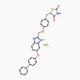 Cl.Cn1c(COc2ccc(CC3SC(=O)NC3=O)cc2)nc2ccc(Oc3ccc(-c4ccccc4)cc3)cc21